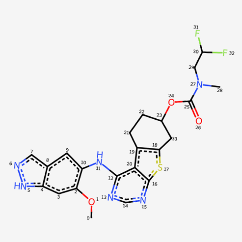 COc1cc2[nH]ncc2cc1Nc1ncnc2sc3c(c12)CCC(OC(=O)N(C)CC(F)F)C3